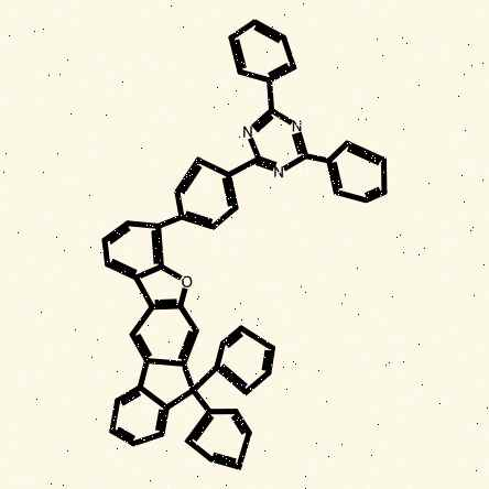 c1ccc(-c2nc(-c3ccccc3)nc(-c3ccc(-c4cccc5c4oc4cc6c(cc45)-c4ccccc4C6(c4ccccc4)c4ccccc4)cc3)n2)cc1